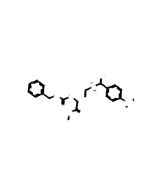 COC(=O)[C@@H](CCP(=O)(O)C(O)c1ccc([N+](=O)[O-])cc1)NC(=O)OCc1ccccc1